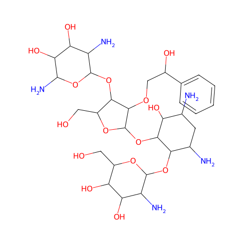 NC1CC(N)C(OC2OC(CO)C(O)C(O)C2N)C(OC2OC(CO)C(OC3OC(N)C(O)C(O)C3N)C2OCC(O)c2ccccc2)C1O